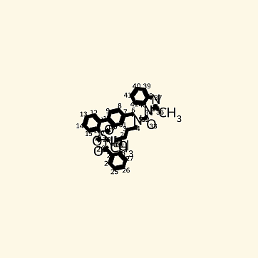 CCCCCN(Cc1ccc(-c2ccccc2S(=O)(=O)NC(=O)c2ccccc2Cl)cc1)C(=O)n1c(C)nc2ccccc21